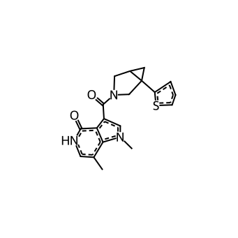 Cc1c[nH]c(=O)c2c(C(=O)N3CC4CC4(c4cccs4)C3)cn(C)c12